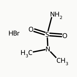 Br.CN(C)S(N)(=O)=O